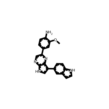 COc1cc(-c2cnc3[nH]cc(-c4ccc5[nH]ccc5c4)c3n2)ccc1N